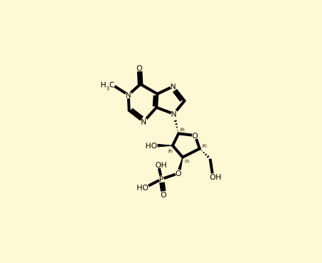 Cn1cnc2c(ncn2[C@@H]2O[C@H](CO)[C@@H](OP(=O)(O)O)[C@H]2O)c1=O